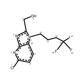 OCc1nc2nc(Cl)ccc2n1CCCC(F)(F)F